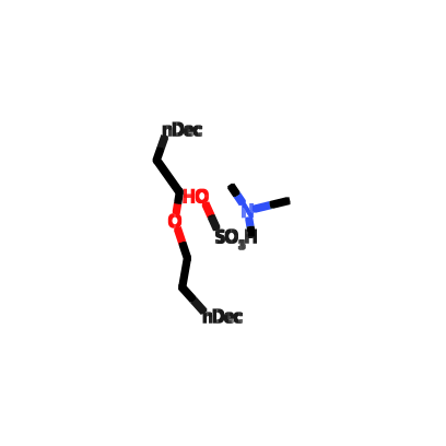 CCCCCCCCCCCCOCCCCCCCCCCCC.CN(C)C.O=S(=O)(O)O